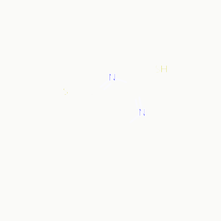 Cc1nc(S)nc2c1CCS2